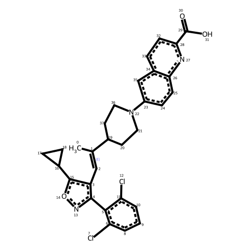 C/C(=C\c1c(-c2c(Cl)cccc2Cl)noc1C1CC1)C1CCN(c2ccc3nc(C(=O)O)ccc3c2)CC1